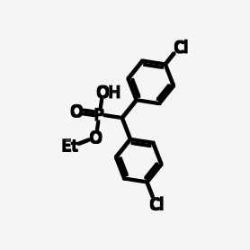 CCOP(=O)(O)C(c1ccc(Cl)cc1)c1ccc(Cl)cc1